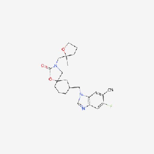 CC1(CN2CC3(CCCC(Cn4cnc5cc(F)c(C#N)cc54)C3)OC2=O)CCCO1